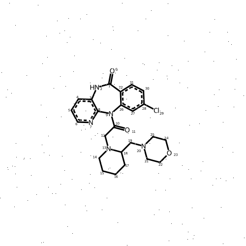 O=C1Nc2cccnc2N(C(=O)CN2CCCCC2CN2CCOCC2)c2cc(Cl)ccc21